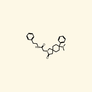 CN(C)C1(c2ccccc2)CCC2(CC1)CC(=O)N(CC(=O)NCCc1ccccc1)C2